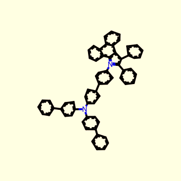 c1ccc(-c2ccc(N(c3ccc(-c4ccccc4)cc3)c3ccc(-c4ccc(-n5c(-c6ccccc6)c(-c6ccccc6)c6c7ccccc7c7ccccc7c65)cc4)cc3)cc2)cc1